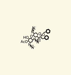 CC[C@@H]([C@@H]1CC[C@@H](N=[N+]=[N-])[C@@H](O[C@H]2[C@H](O)[C@@H](OC(C)=O)[C@H](N=[N+]=[N-])C[C@@H]2N=[N+]=[N-])C1)N(Cc1ccccc1)C(=O)OCc1ccccc1